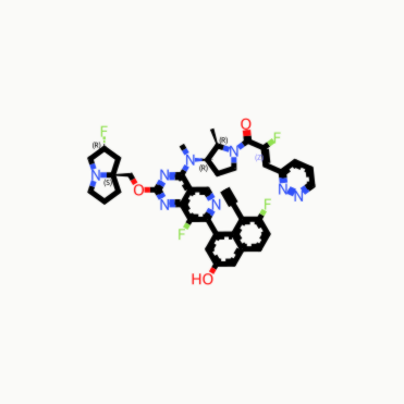 C#Cc1c(F)ccc2cc(O)cc(-c3ncc4c(N(C)[C@@H]5CCN(C(=O)/C(F)=C/c6cccnn6)[C@@H]5C)nc(OC[C@@]56CCCN5C[C@H](F)C6)nc4c3F)c12